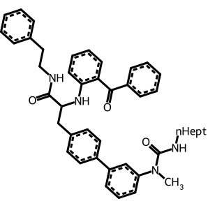 CCCCCCCNC(=O)N(C)c1cccc(-c2ccc(CC(Nc3ccccc3C(=O)c3ccccc3)C(=O)NCCc3ccccc3)cc2)c1